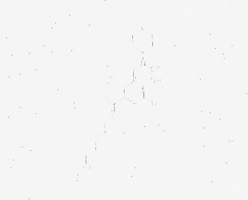 CCN(Cc1cc(C(=O)OCCSCCO)cc(Br)c1N)C1CCCCC1